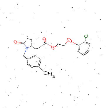 Cc1ccc(CN2C(=O)CCC2CC(=O)OCCOc2ccccc2Cl)cc1